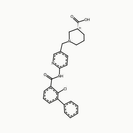 O=C(Nc1ccc(CN2CCC[C@@H](C(=O)O)C2)cn1)c1cccc(-c2ccccc2)c1Cl